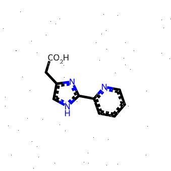 O=C(O)Cc1c[nH]c(-c2ccccn2)n1